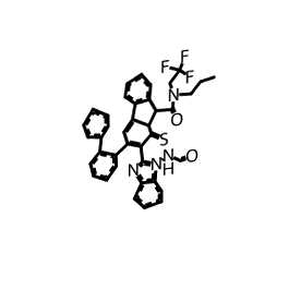 CCCN(CC(F)(F)F)C(=O)C1c2ccccc2C2=CC(c3ccccc3-c3ccccc3)=C(c3nc4ccccc4n3NC=O)C(=S)C21